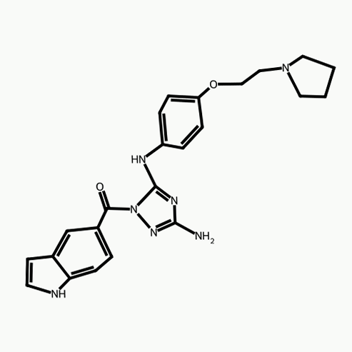 Nc1nc(Nc2ccc(OCCN3CCCC3)cc2)n(C(=O)c2ccc3[nH]ccc3c2)n1